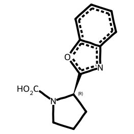 O=C(O)N1CCC[C@@H]1c1nc2ccccc2o1